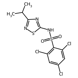 CC(C)c1nsc(NS(=O)(=O)c2c(Cl)cc(Cl)cc2Cl)n1